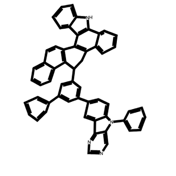 c1ccc(-c2cc(-c3ccc4c(c3)c3ncncc3n4-c3ccccc3)cc(C3Cc4c(c5c6ccccc6[nH]c5c5ccccc45)-c4ccc5ccccc5c43)c2)cc1